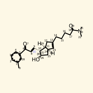 Cc1cccc(C(=O)/C=C/[C@@H]2[C@H]3CC(CCCCC(=O)N(C)C)=C[C@H]3C[C@H]2O)c1